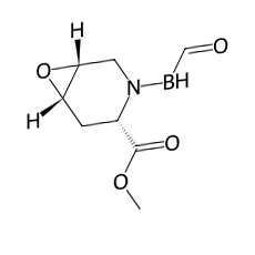 COC(=O)[C@@H]1C[C@@H]2O[C@@H]2CN1BC=O